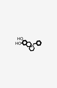 Oc1cc2c(cc1O)CC1(CCCCN1Cc1ccccc1)CC2